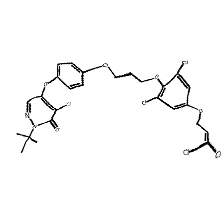 CC(C)(C)n1ncc(Oc2ccc(OCCCOc3c(Cl)cc(OCC=C(Cl)Cl)cc3Cl)cc2)c(Cl)c1=O